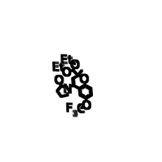 CCOC(OCC)C1(C)C=C(N2CCCC2=O)c2cc(OC(F)(F)F)ccc2O1